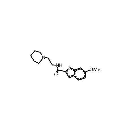 COc1ccc2cc(C(=O)NCCN3CCCCC3)sc2c1